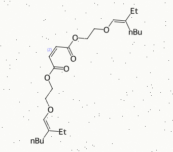 CCCCC(=COCCOC(=O)/C=C\C(=O)OCCOC=C(CC)CCCC)CC